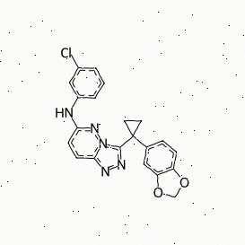 Clc1cccc(Nc2ccc3nnc(C4(c5ccc6c(c5)OCO6)CC4)n3n2)c1